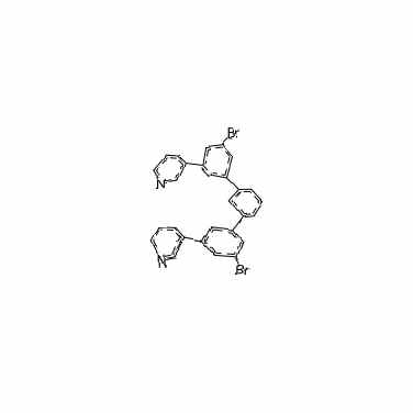 Brc1cc(-c2cccnc2)cc(-c2cccc(-c3cc(Br)cc(-c4cccnc4)c3)c2)c1